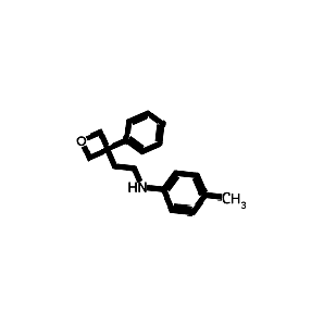 Cc1ccc(NCCC2(c3ccccc3)COC2)cc1